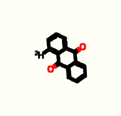 [2H]c1cccc2c1C(=O)c1ccccc1C2=O